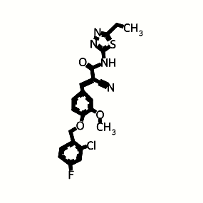 CCc1nnc(NC(=O)/C(C#N)=C/c2ccc(OCc3ccc(F)cc3Cl)c(OC)c2)s1